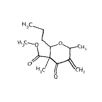 C=C1C(=O)C(C)(C(=O)OC)C(CCC)OC1C